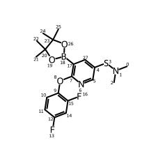 CN(C)Sc1cnc(Oc2ccc(F)cc2F)c(B2OC(C)(C)C(C)(C)O2)c1